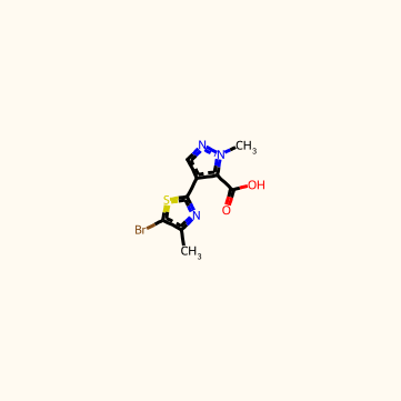 Cc1nc(-c2cnn(C)c2C(=O)O)sc1Br